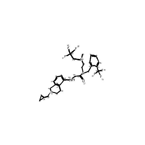 CN(CCN(Cc1ccccc1C(F)(F)F)C(=O)CNc1cccc2c1CCN(CC1CC1)C2)CC(F)(F)F